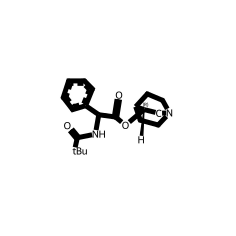 CC(C)(C)C(=O)NC(C(=O)O[C@H]1CN2CCC1CC2)c1ccccc1